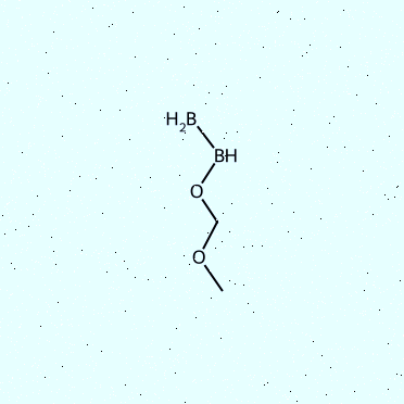 BBOCOC